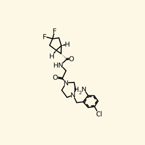 Nc1ccc(Cl)cc1CN1CCN(C(=O)CNC(=O)[C@@H]2[C@@H]3CC(F)(F)C[C@@H]32)CC1